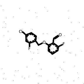 O=Cc1c(F)cccc1OCc1ccc(Cl)cc1F